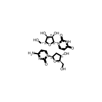 Nc1ccn([C@H]2C[C@H](O)[C@@H](CO)O2)c(=O)n1.O=c1ccn([C@@H]2O[C@H](CO)[C@@H](O)[C@H]2O)c(=O)[nH]1